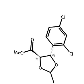 COC(=O)[C@@H]1OC(C)O[C@H]1c1ccc(Cl)cc1Cl